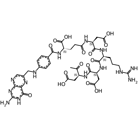 CC(=O)[C@H](CC(=O)O)NC(=O)[C@H](CC(=O)O)NC(=O)[C@H](CCCNC(=N)N)NC(=O)[C@H](CC(=O)O)NC(=O)CC[C@H](NC(=O)c1ccc(NCc2cnc3nc(N)[nH]c(=O)c3n2)cc1)C(=O)O